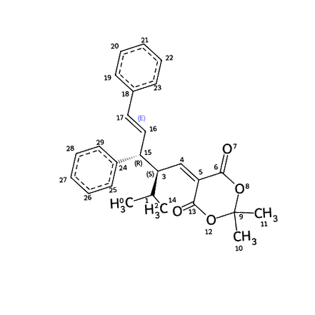 CC(C)[C@H](C=C1C(=O)OC(C)(C)OC1=O)[C@@H](/C=C/c1ccccc1)c1ccccc1